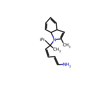 CC1=CC2C=CC=CC2N1C(C)(/C=C\C=C\N)C(C)C